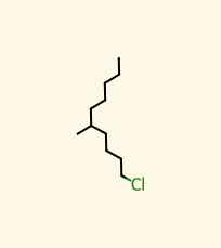 CCCCCC(C)CCCCCl